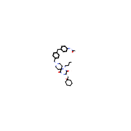 CCCCN1C(=O)[C@@H](CC2(O)CCCCC2)NC(=O)C12CCN(Cc1ccc(Cc3ccc(NC(C)=O)cc3)cc1)CC2.Cl